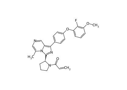 C=CC(=O)N1CCC[C@H]1c1nc(-c2ccc(Oc3cccc(OC)c3F)cc2)c2cncc(C)n12